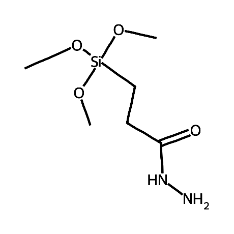 CO[Si](CCC(=O)NN)(OC)OC